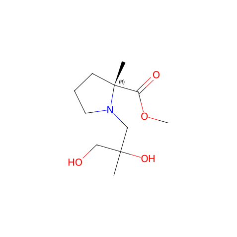 COC(=O)[C@@]1(C)CCCN1CC(C)(O)CO